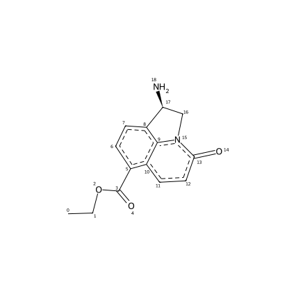 CCOC(=O)c1ccc2c3c1ccc(=O)n3C[C@@H]2N